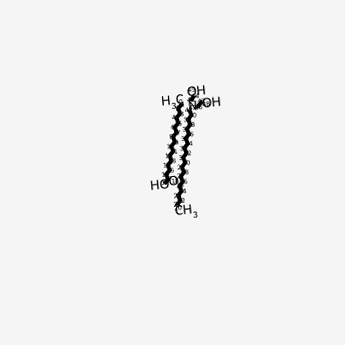 CCCCCCCCCCCCCCCCCC(=O)O.CCCCCCCCCCCCCCCCCCCCCCN(CCO)CCO